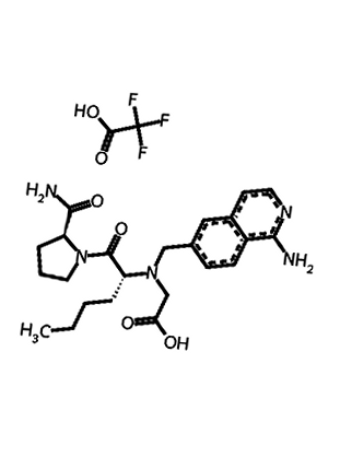 CCCC[C@H](C(=O)N1CCC[C@H]1C(N)=O)N(CC(=O)O)Cc1ccc2c(N)nccc2c1.O=C(O)C(F)(F)F